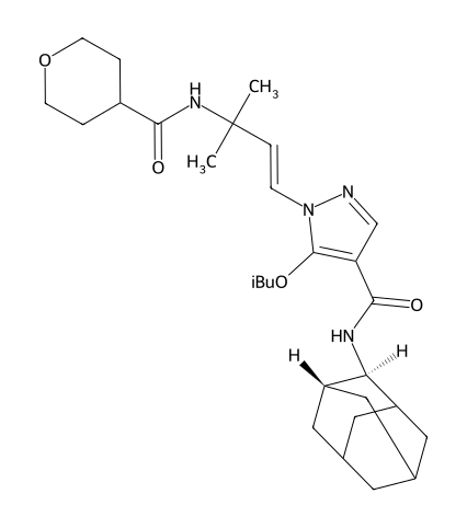 CC(C)COc1c(C(=O)N[C@H]2C3CC4CC(C3)C[C@@H]2C4)cnn1/C=C/C(C)(C)NC(=O)C1CCOCC1